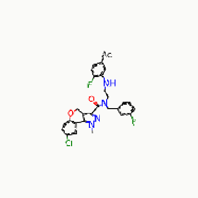 CC(=O)c1ccc(F)c(NCCN(Cc2cccc(F)c2)C(=O)c2nn(C)c3c2COc2ccc(Cl)cc2-3)c1